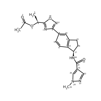 CC(=O)O[C@@H](C)c1nc(-c2ccc3c(c2)CC[C@H]3NC(=O)c2cnn(C)c2)no1